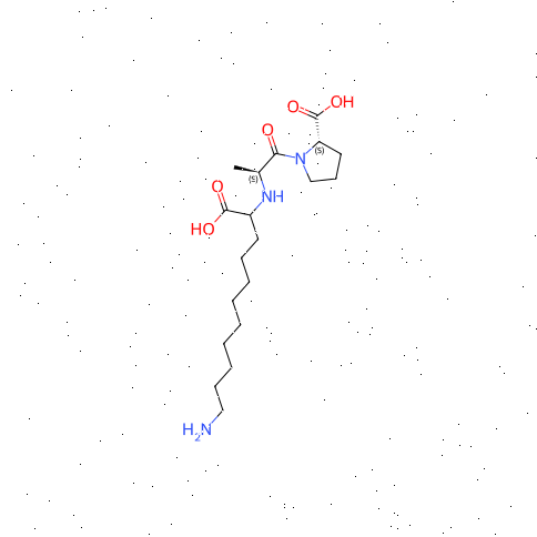 C[C@H](NC(CCCCCCCCCN)C(=O)O)C(=O)N1CCC[C@H]1C(=O)O